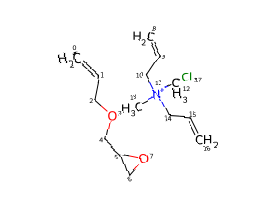 C=CCOCC1CO1.C=CC[N+](C)(C)CC=C.[Cl-]